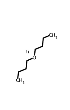 CCCCOCCCC.[Ti]